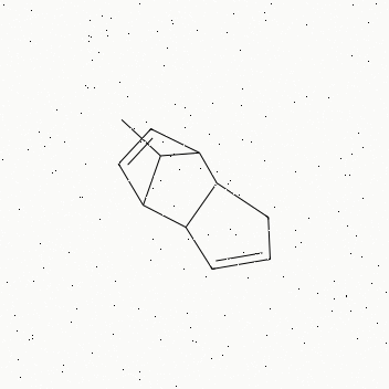 CC1C2C=CC1C1CC=CC21